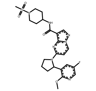 COc1ncc(F)cc1C1CCCN1c1ccn2ncc(C(=O)NC3CCN(S(C)(=O)=O)CC3)c2n1